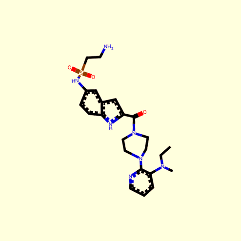 CCN(C)c1cccnc1N1CCN(C(=O)c2cc3cc(NS(=O)(=O)CCN)ccc3[nH]2)CC1